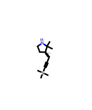 CC1(C)NCC/C1=C\C#C[Si](C)(C)C